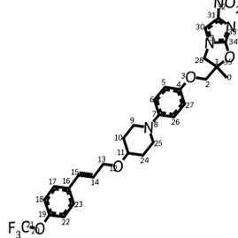 CC1(COc2ccc(N3CCC(OCC=Cc4ccc(OC(F)(F)F)cc4)CC3)cc2)Cn2cc([N+](=O)[O-])nc2O1